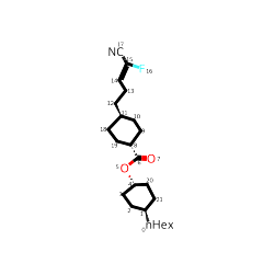 CCCCCC[C@H]1CC[C@H](OC(=O)[C@H]2CC[C@H](CCC=C(F)C#N)CC2)CC1